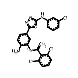 C=C(Nc1cc(-c2nnc(Nc3cccc(Cl)c3)o2)ccc1N)c1c(Cl)cccc1Cl